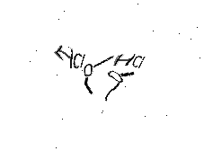 COC.COC.Cl.Cl